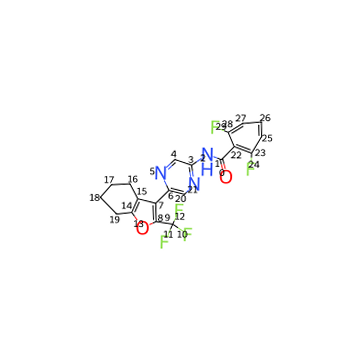 O=C(Nc1cnc(-c2c(C(F)(F)F)oc3c2CCCC3)cn1)c1c(F)cccc1F